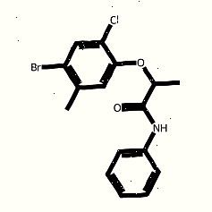 Cc1cc(OC(C)C(=O)Nc2ccccc2)c(Cl)cc1Br